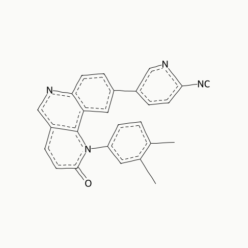 [C-]#[N+]c1ccc(-c2ccc3ncc4ccc(=O)n(-c5ccc(C)c(C)c5)c4c3c2)cn1